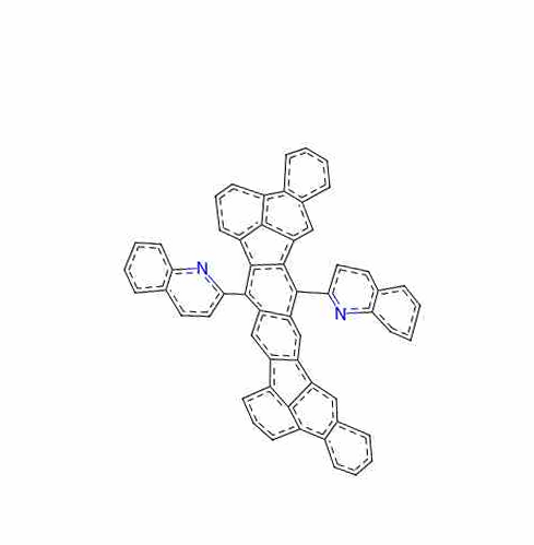 c1ccc2nc(-c3c4cc5c(cc4c(-c4ccc6ccccc6n4)c4c6cc7ccccc7c7cccc(c34)c76)c3cc4ccccc4c4cccc5c43)ccc2c1